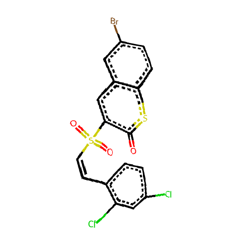 O=c1sc2ccc(Br)cc2cc1S(=O)(=O)/C=C\c1ccc(Cl)cc1Cl